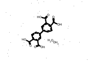 O.O.O=C(O)c1ccc(-c2ccc(C(=O)O)c(C(=O)O)c2)cc1C(=O)O